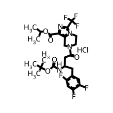 CC(C)OC(=O)c1nc(C(F)(F)F)n2c1CN(C(=O)CC(Cc1cc(F)c(F)cc1F)NC(=O)OC(C)(C)C)CC2.Cl